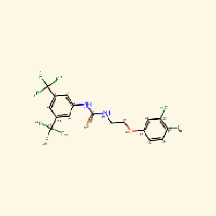 FC(F)(F)c1cc(NC(=S)NCCOc2ccc(Cl)c(Cl)c2)cc(C(F)(F)F)c1